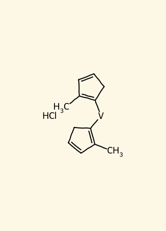 CC1=[C]([V][C]2=C(C)C=CC2)CC=C1.Cl